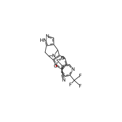 N#Cc1ccc2c(c1)C1Cc3[nH]ncc3C2N1S(=O)(=O)c1ccc(C(F)(F)F)nc1